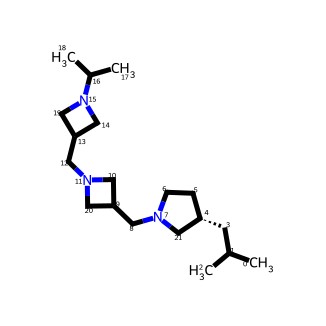 CC(C)C[C@H]1CCN(CC2CN(CC3CN(C(C)C)C3)C2)C1